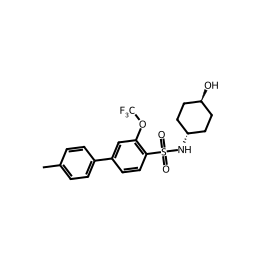 Cc1ccc(-c2ccc(S(=O)(=O)N[C@H]3CC[C@H](O)CC3)c(OC(F)(F)F)c2)cc1